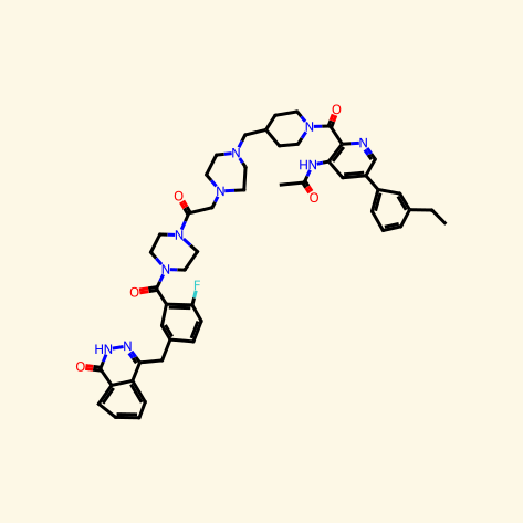 CCc1cccc(-c2cnc(C(=O)N3CCC(CN4CCN(CC(=O)N5CCN(C(=O)c6cc(Cc7n[nH]c(=O)c8ccccc78)ccc6F)CC5)CC4)CC3)c(NC(C)=O)c2)c1